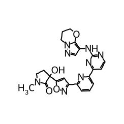 CN1CCC(O)(c2cc(-c3cccc(-c4ccnc(Nc5cnn6c5OCCC6)n4)n3)no2)C1=O